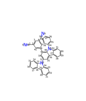 N#Cc1cc(C#N)cc(-c2cc(-n3c4ccccc4c4ccccc43)cc3c4ccccc4n(-c4ccccc4)c23)c1